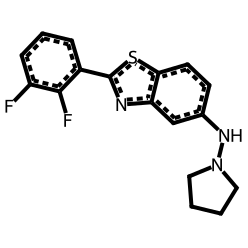 Fc1cccc(-c2nc3cc(NN4CCCC4)ccc3s2)c1F